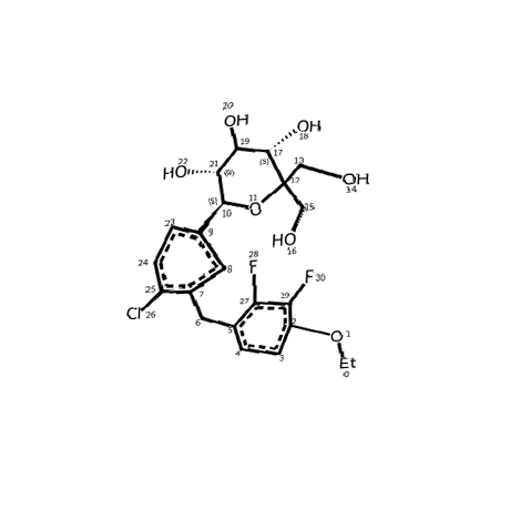 CCOc1ccc(Cc2cc([C@@H]3OC(CO)(CO)[C@@H](O)C(O)[C@H]3O)ccc2Cl)c(F)c1F